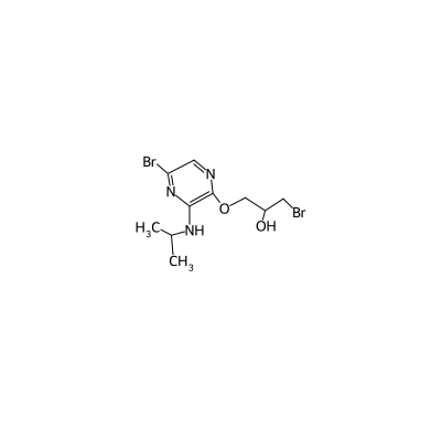 CC(C)Nc1nc(Br)cnc1OCC(O)CBr